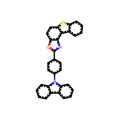 c1ccc2c(c1)sc1ccc3oc(-c4ccc(-n5c6ccccc6c6ccccc65)cc4)nc3c12